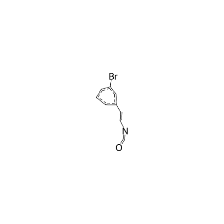 O=C=N/C=C/c1cccc(Br)c1